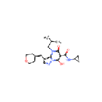 CC(C)Cn1c(=O)c(C(=O)NC2CC2)c(O)n2ncc(C=C3CCOCC3)c12